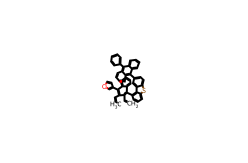 C=Cc1c(/C=C\C)c(-c2ccoc2)c2ccccc2c1-c1cccc2sc3ccc(-c4c5ccccc5c(-c5ccccc5)c5ccccc45)cc3c12